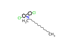 CCCCCCCCCCCCCCC(C)n1c2cc(Cl)ccc2c2ccc(Cl)cc21